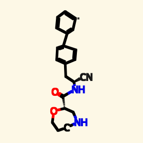 N#C[C@H](Cc1ccc(-c2c[c]ccc2)cc1)NC(=O)[C@@H]1CNCCCO1